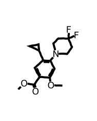 COC(=O)c1cc(C2CC2)c(N2CCC(F)(F)CC2)cc1OC